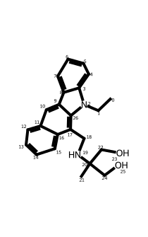 CCn1c2ccccc2c2cc3ccccc3c(CNC(C)(CO)CO)c21